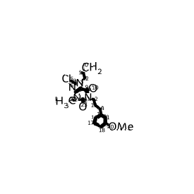 C=CCn1c(Cl)nc2c1c(=O)n(CCCc1cccc(OC)c1)c(=O)n2C